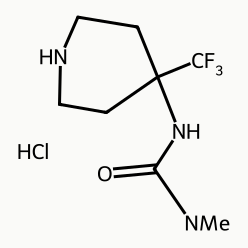 CNC(=O)NC1(C(F)(F)F)CCNCC1.Cl